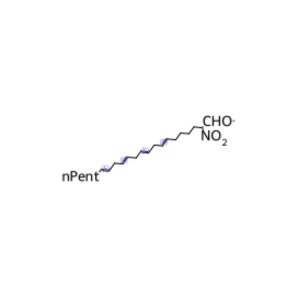 CCCCC/C=C/C/C=C/C/C=C/C/C=C/CCCCC([C]=O)[N+](=O)[O-]